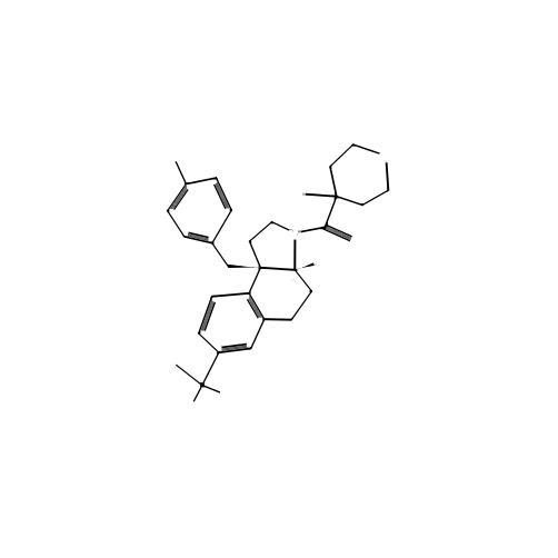 CC(F)(c1ccc2c(c1)CC[C@H]1N(C(=O)C3(O)CCOCC3)CC[C@@]21Cc1ccc(F)cc1)C(F)(F)F